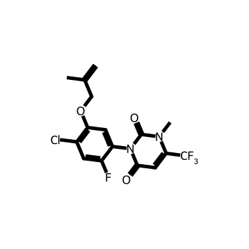 C=C(C)COc1cc(-n2c(=O)cc(C(F)(F)F)n(C)c2=O)c(F)cc1Cl